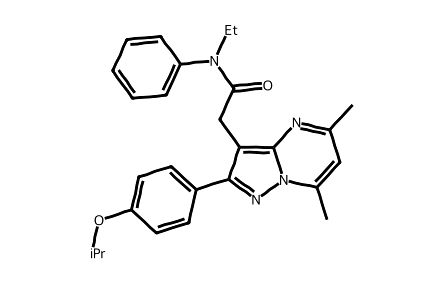 CCN(C(=O)Cc1c(-c2ccc(OC(C)C)cc2)nn2c(C)cc(C)nc12)c1ccccc1